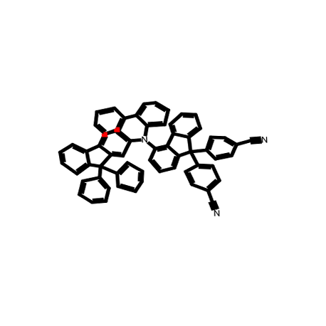 N#Cc1ccc(C2(c3ccc(C#N)cc3)c3ccccc3-c3c(N(c4ccc5c(c4)C(c4ccccc4)(c4ccccc4)c4ccccc4-5)c4ccccc4-c4ccccc4)cccc32)cc1